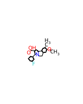 COc1cc2c(cc1C)-c1cc(C(=O)O)c(-c3cccc(F)c3)n1CC2